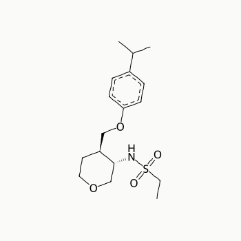 CCS(=O)(=O)N[C@@H]1COCC[C@H]1COc1ccc(C(C)C)cc1